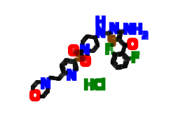 Cl.Nc1nc(NC2CCN(S(=O)(=O)c3ccc(CCN4CCOCC4)nc3)CC2)sc1C(=O)c1c(F)cccc1F